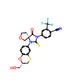 N#Cc1ccc(N2C(=O)[C@@]3(CCOC3)N(c3ccc4c(c3)SC[C@H](CO)O4)C2=S)cc1C(F)(F)F